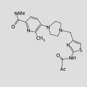 CNC(=O)c1ccc(N2CCN(Cc3csc(NC(=O)C(C)=O)n3)CC2)c(C)n1